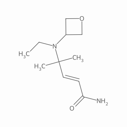 CCN(C1COC1)C(C)(C)C=CC(N)=O